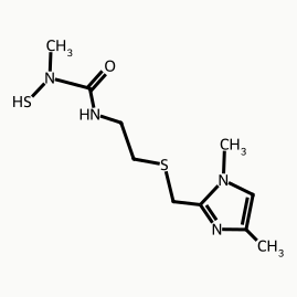 Cc1cn(C)c(CSCCNC(=O)N(C)S)n1